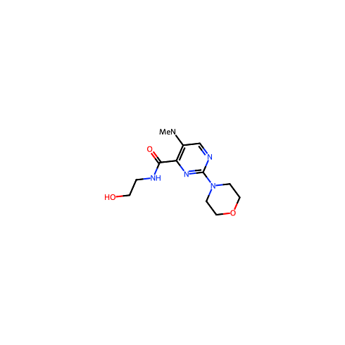 CNc1cnc(N2CCOCC2)nc1C(=O)NCCO